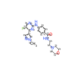 Cn1cc(-c2nc(Nc3ccc(C(=O)NCCN4CCOCC4)cc3)ncc2F)cn1